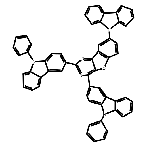 c1ccc(-n2c3ccccc3c3cc(-c4nc(-c5ccc6c(c5)c5ccccc5n6-c5ccccc5)c5oc6ccc(-n7c8ccccc8c8ccccc87)cc6c5n4)ccc32)cc1